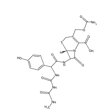 CNC(=O)NC(=O)NC(C(=O)NC1C(=O)N2C(C(=O)O)=C(COC(N)=O)CS[C@@H]12)c1ccc(O)cc1